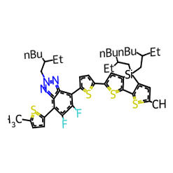 CCCCC(CC)Cn1nc2c(-c3ccc(C)s3)c(F)c(F)c(-c3ccc(-c4cc5c(s4)-c4sc(C)cc4[Si]5(CC(CC)CCCC)CC(CC)CCCC)s3)c2n1